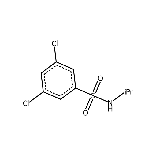 CC(C)NS(=O)(=O)c1cc(Cl)cc(Cl)c1